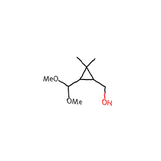 COC(OC)C1C(CO)C1(C)C